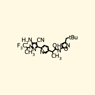 CC(C(=O)Nc1cc(CC(C)(C)C)no1)c1ccc(-c2nn(C(C)C(F)(F)F)c(N)c2C#N)nc1